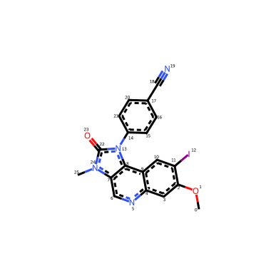 COc1cc2ncc3c(c2cc1I)n(-c1ccc(C#N)cc1)c(=O)n3C